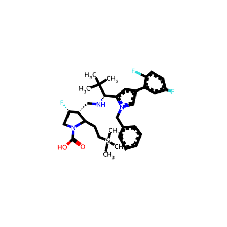 CC(C)(C)[C@@H](NC[C@@H]1C(CC[Si](C)(C)C)N(C(=O)O)C[C@@H]1F)c1cc(-c2cc(F)ccc2F)cn1Cc1ccccc1